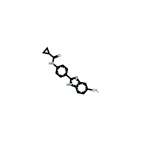 Cc1ccc2[nH]c(-c3ccc(NC(=O)C4CC4)cc3)nc2c1